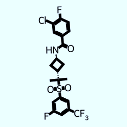 CC(C)([C@H]1C[C@@H](NC(=O)c2ccc(F)c(Cl)c2)C1)S(=O)(=O)c1cc(F)cc(C(F)(F)F)c1